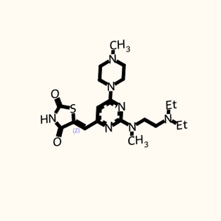 CCN(CC)CCN(C)c1nc(/C=C2\SC(=O)NC2=O)cc(N2CCN(C)CC2)n1